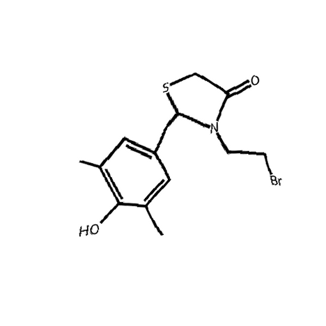 Cc1cc(C2SCC(=O)N2CCBr)cc(C)c1O